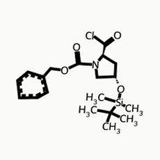 CC(C)(C)[Si](C)(C)O[C@H]1C[C@H](C(=O)Cl)N(C(=O)OCc2ccccc2)C1